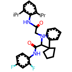 CC(C)c1cccc(C(C)C)c1NC(=O)CNC(C(=O)Nc1ccc(F)cc1F)C1(c2ccccc2)CCCC1